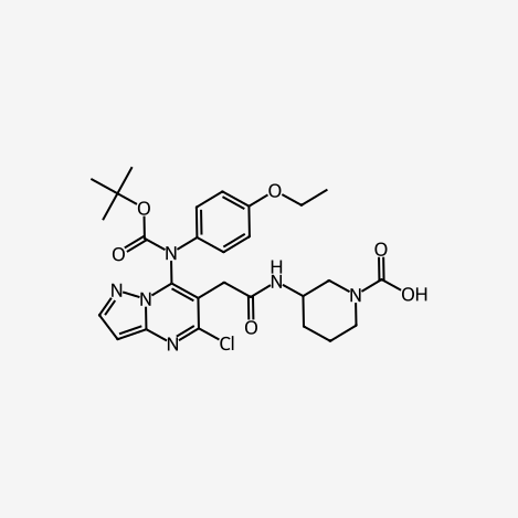 CCOc1ccc(N(C(=O)OC(C)(C)C)c2c(CC(=O)NC3CCCN(C(=O)O)C3)c(Cl)nc3ccnn23)cc1